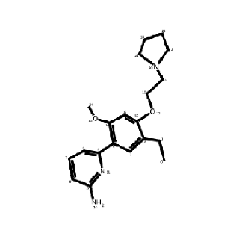 CCc1cc(-c2cccc(N)n2)c(OC)cc1OCCN1CCCC1